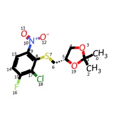 CC1(C)OC[C@@H](CSc2c([N+](=O)[O-])ccc(F)c2Cl)O1